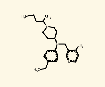 CCc1ccc(N(Cc2cnccc2C)C2CCN(C(C)CCN)CC2)cc1